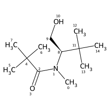 CN(C(=O)C(C)(C)C)[C@@H](CO)C(C)(C)C